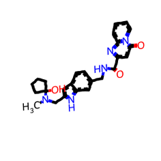 CN(Cc1cc2ccc(CNC(=O)c3cc(=O)n4ccccc4n3)cc2[nH]1)C1(O)CCCC1